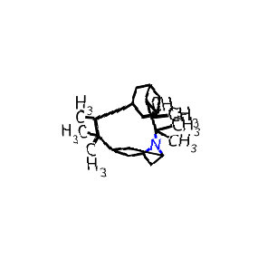 CC1C2CC3CC(C2)C3C(C)(C)C(C)(C)N2C3CC2CC(C3)C1(C)C